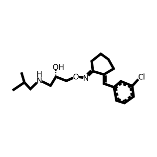 CC(C)CNC[C@H](O)CO/N=C1\CCCC\C1=C/c1cccc(Cl)c1